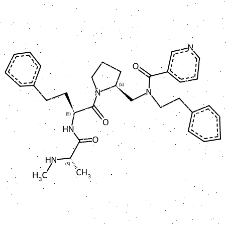 CN[C@@H](C)C(=O)N[C@@H](CCc1ccccc1)C(=O)N1CCC[C@H]1CN(CCc1ccccc1)C(=O)c1cccnc1